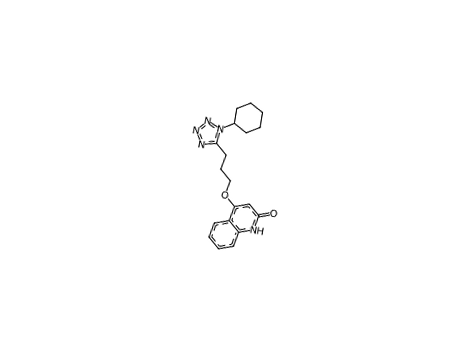 O=c1cc(OCCCc2nnnn2C2CCCCC2)c2ccccc2[nH]1